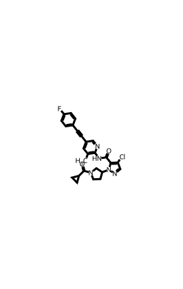 Cc1cc(C#Cc2ccc(F)cc2)cnc1NC(=O)c1c(Cl)cnn1C1CCN(C(=O)C2CC2)C1